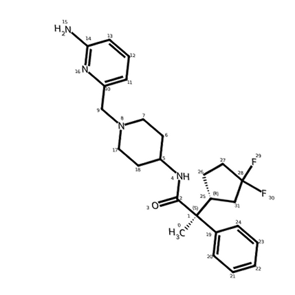 C[C@@](C(=O)NC1CCN(Cc2cccc(N)n2)CC1)(c1ccccc1)[C@@H]1CCC(F)(F)C1